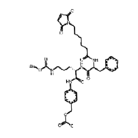 CC(C)(C)OC(=O)NCCC[C@H](NC(=O)C(Cc1ccccc1)NC(=O)CCCCCN1C(=O)C=CC1=O)C(=O)Nc1ccc(COC(=O)Cl)cc1